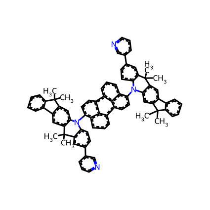 CC1(C)c2ccccc2-c2cc3c(cc21)N(c1ccc2c4cccc5c(N6c7ccc(-c8cccnc8)cc7C(C)(C)c7cc8c(cc76)C(C)(C)c6ccccc6-8)ccc(c6cccc1c62)c54)c1ccc(-c2cccnc2)cc1C3(C)C